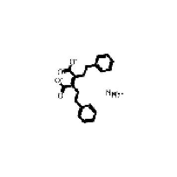 O=C([O-])/C(CCc1ccccc1)=C(/CCc1ccccc1)C(=O)[O-].[Na+].[Na+]